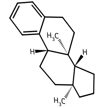 C[C@@]12CCC[C@H]1[C@]1(C)CCc3ccccc3[C@H]1CC2